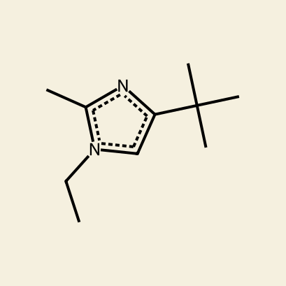 CCn1cc(C(C)(C)C)nc1C